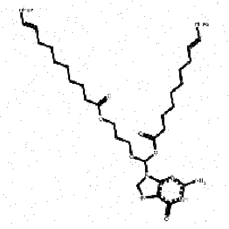 CCCCCCC=CCCCCCCCC(=O)OCCCOC(OC(=O)CCCCCCCC=CCCCCCC)N1CNc2c1nc(N)[nH]c2=O